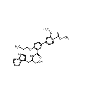 CCCOc1ccc(-c2ccc(C(=O)OC)c(OC)c2)cc1C(=O)NC(CO)Cc1c[nH]c2ccccc12